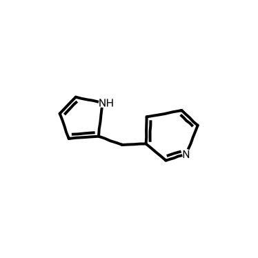 c1cncc(Cc2ccc[nH]2)c1